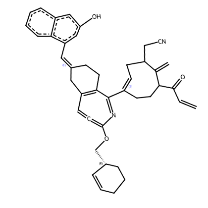 C=CC(=O)C1CC/C(C2=NC(OC[C@H]3C=CCCC3)=C=CC3=C2CC/C(=C\c2cc(O)cc4ccccc24)C3)=C/CC(CC#N)C1=C